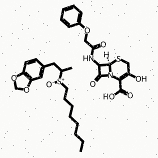 CCCCCCCC[S+]([O-])C(C)Cc1ccc2c(c1)OCO2.O=C(COc1ccccc1)NC1C(=O)N2C(C(=O)O)=C(O)CS[C@H]12